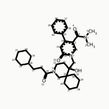 CN(C)C(=O)c1cn(CC2(O)CCN(C(=O)CCC3CCCCC3)CC23CCCCC3)c(=O)cc1-c1ccccc1